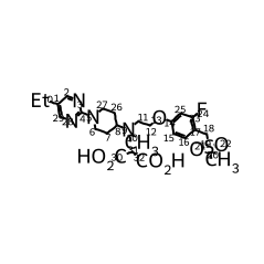 CCc1cnc(N2CCC(N(C)CCOc3ccc(CS(C)(=O)=O)c(F)c3)CC2)nc1.O=C(O)CC(=O)O